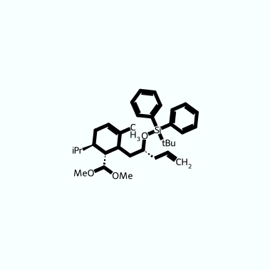 C=CC[C@H](CC1C(C)=CC[C@H](C(C)C)[C@H]1C(OC)OC)O[Si](c1ccccc1)(c1ccccc1)C(C)(C)C